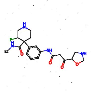 CCNC(=O)C1(c2cccc(NC(=O)CC(=O)C3CNCO3)c2)CCNCC1F